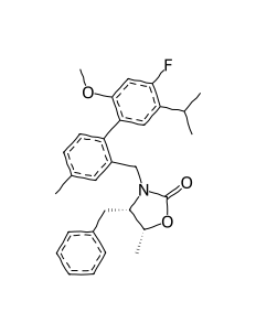 COc1cc(F)c(C(C)C)cc1-c1ccc(C)cc1CN1C(=O)O[C@H](C)[C@@H]1Cc1ccccc1